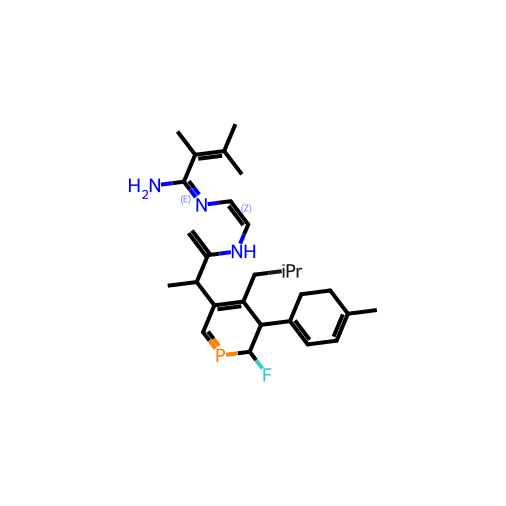 C=C(N/C=C\N=C(\N)C(C)=C(C)C)C(C)C1=C(CC(C)C)C(C2=CC=C(C)CC2)C(F)P=C1